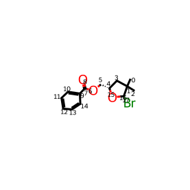 CC1(C)C[C@@H](COC(=O)c2ccccc2)OC1Br